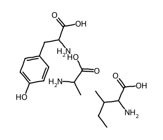 CC(N)C(=O)O.CCC(C)C(N)C(=O)O.NC(Cc1ccc(O)cc1)C(=O)O